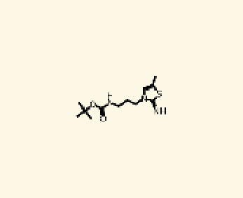 Cc1cn(CCCNC(=O)OC(C)(C)C)c(=N)s1